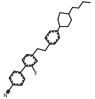 CCCCC1CCC(c2ccc(CCc3ccc(-c4ccc(C#N)cc4)c(F)c3)cc2)CC1